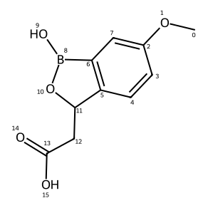 COc1ccc2c(c1)B(O)OC2CC(=O)O